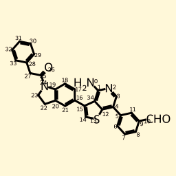 Nc1ncc(-c2cccc(C=O)c2)c2scc(-c3ccc4c(c3)CCN4C(=O)Cc3ccccc3)c12